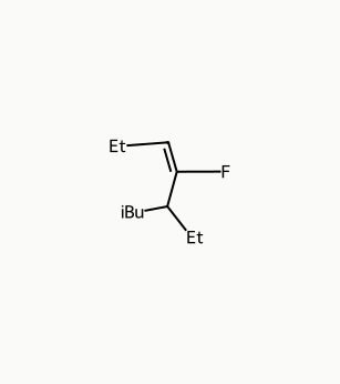 CC/C=C(/F)C(CC)C(C)CC